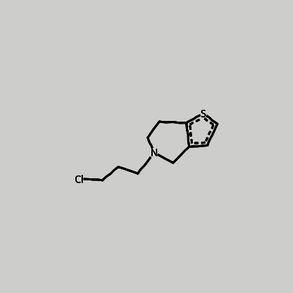 ClCCCN1CCc2sccc2C1